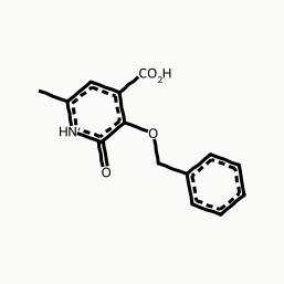 Cc1cc(C(=O)O)c(OCc2ccccc2)c(=O)[nH]1